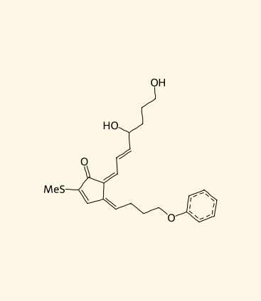 CSC1=CC(=CCCCOc2ccccc2)C(=CC=CC(O)CCCO)C1=O